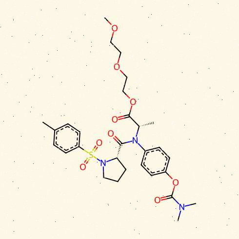 COCCOCCOC(=O)[C@H](C)N(C(=O)[C@@H]1CCCN1S(=O)(=O)c1ccc(C)cc1)c1ccc(OC(=O)N(C)C)cc1